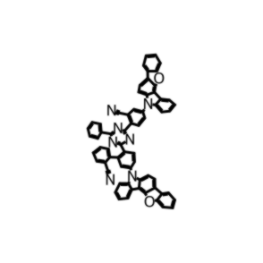 N#Cc1cc(-n2c3ccccc3c3c4oc5ccccc5c4ccc32)ccc1-c1nc(-c2ccccc2)nc(-c2ccc(-n3c4ccccc4c4c5oc6ccccc6c5ccc43)cc2-c2ccccc2C#N)n1